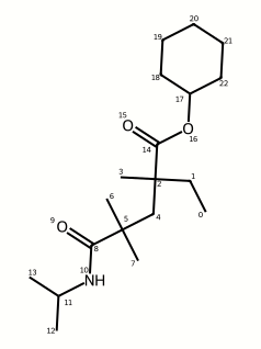 CCC(C)(CC(C)(C)C(=O)NC(C)C)C(=O)OC1CCCCC1